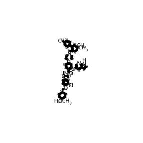 CC1(C)CCC(CN2CCN(c3ccc(C(=O)NS(=O)(=O)c4ccc(OC[C@H]5CC[C@](C)(O)CC5)c(Cl)c4)c(Oc4cnc5[nH]ccc5c4)c3)CC2)=C(c2ccc(Cl)cc2)C1